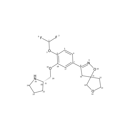 FC(F)Oc1ccc(C2=NOC3(CCOC3)C2)cc1OC[C@@H]1CCCN1